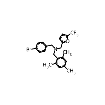 Cc1cc(C)c(CN(Cc2ccc(Br)cc2)Cc2ccc(C(F)(F)F)o2)c(C)c1